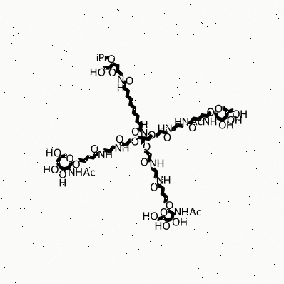 CC(=O)NC1C(OCCCCC(=O)NCCCNC(=O)CCOCC(COCCC(=O)NCCCNC(=O)CCCCOC2OCC(CO)C(O)C(O)C2NC(C)=O)(COCCC(=O)NCCCNC(=O)CCCCOC2OC(CO)C(O)C(O)C2NC(C)=O)NC(=O)CCCCCCCCCCC(=O)NCC2CC(OC(C)C)C(CO)O2)OCC(O)CC(O)C1O